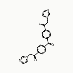 O=C(Cn1ccnc1)c1ccc(C(=O)c2ccc(C(=O)Cn3ccnc3)cc2)cc1